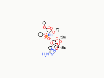 CC(C)(C)C(=O)O[C@H]1[C@@H](OC(=O)C(C)(C)C)[C@](C#N)(c2ccc3c(N)ncnn23)O[C@@H]1CO[P@@](=O)(N[C@@H](CC(=O)OC1CCC1)C(=O)OC1CCC1)Oc1ccccc1